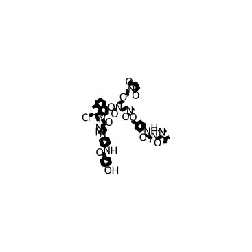 Cc1cccc2c(OC(=O)N(CCOCCN3C(=O)C=CC3=O)CCN(C)C(=O)OCc3ccc(NC(=O)[C@H](C)NC(=O)[C@H](C(C)C)N(C)C)cc3)cc3c(c12)[C@H](CCl)CN3C(=O)c1cn(-c2ccc(NC(=O)c3ccc(O)cc3)cc2)nn1